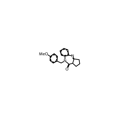 COc1ccc(CN2C(=O)C3CCCC3=Nc3ccccc32)cc1